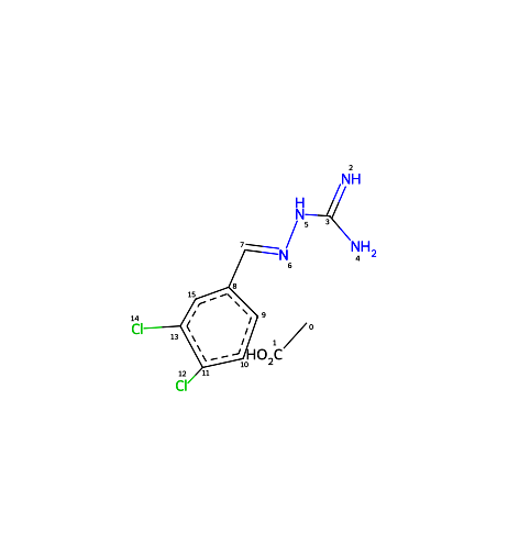 CC(=O)O.N=C(N)NN=Cc1ccc(Cl)c(Cl)c1